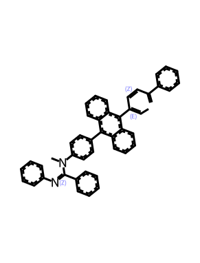 C=C(/C=C\C(=C/C)c1c2ccccc2c(-c2ccc(N(C)/C(=N\c3ccccc3)c3ccccc3)cc2)c2ccccc12)c1ccccc1